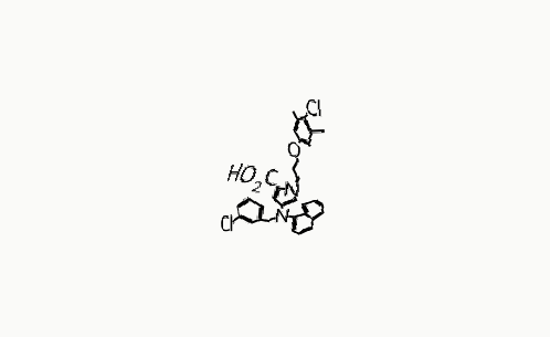 Cc1cc(OCCCn2cc(N(Cc3cccc(Cl)c3)c3cccc4ccccc34)cc2C(=O)O)cc(C)c1Cl